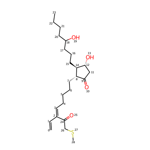 C=CC(=CCCCC[C@H]1C(=O)C[C@@H](O)[C@@H]1CCCC(O)CCCC)C(=O)CSC